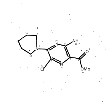 COC(=O)c1nc(Cl)c(N2CCCCC2)nc1N